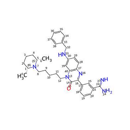 C[C@@H]1CCC[C@H](C)N1CCCCCn1c(=O)c(-c2cccc(C(=N)N)c2)nc2ccc(NCc3ccccc3)cc21